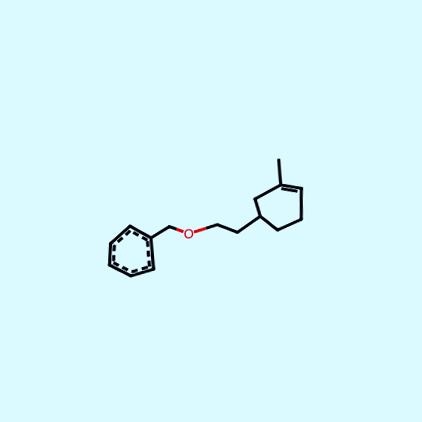 CC1=CCCC(CCOCc2ccccc2)C1